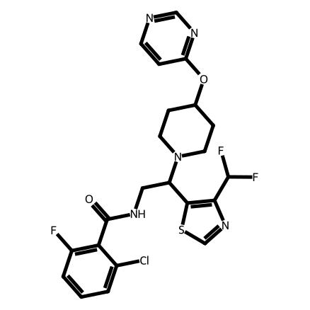 O=C(NCC(c1scnc1C(F)F)N1CCC(Oc2ccncn2)CC1)c1c(F)cccc1Cl